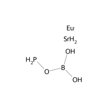 OB(O)OP.[Eu].[SrH2]